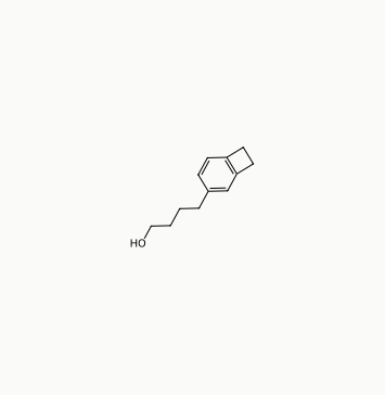 OCCCCc1ccc2c(c1)CC2